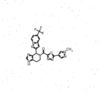 Cn1cc(-c2nnc(C(=O)N3CCc4[nH]cnc4C3c3cc4cc(C(F)(F)F)ccn4n3)o2)cn1